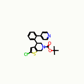 CC(C)(C)OC(=O)N1Cc2sc(Cl)cc2C(c2ccccc2-c2ccncc2)C1